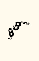 COc1ccc2c(c1)ncn2-c1ccc2cc(OCCN)ccc2n1